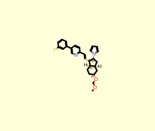 COCO[C@@H]1CC[C@@H]2[C@H](C1)C[C@@H](n1cccc1)[C@H]2C=Cc1ccc(-c2cccc(F)c2)cn1